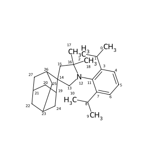 CC(C)c1cccc(C(C)C)c1N1CC2(CC1(C)C)C1CC3CC(C1)CC2C3